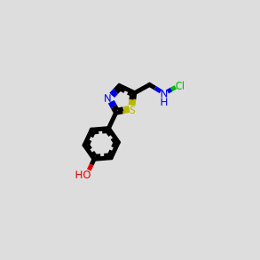 Oc1ccc(-c2ncc(CNCl)s2)cc1